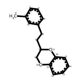 Cc1cccc(CCC2COc3ccccc3O2)c1